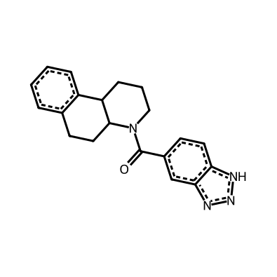 O=C(c1ccc2[nH]nnc2c1)N1CCCC2c3ccccc3CCC21